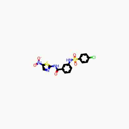 O=C(Nc1ncc([N+](=O)[O-])s1)c1cccc(NS(=O)(=O)c2ccc(Cl)cc2)c1